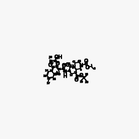 CCOC(=O)N1CCN(C(=O)C(CCC(=O)OC(C)(C)C)NC(=O)c2cc(O[C@H](C)C(=O)O)c3ccc(C)cc3n2)CC1